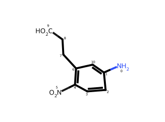 Nc1ccc([N+](=O)[O-])c(CCC(=O)O)c1